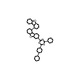 c1ccc(-c2ccc(-c3nc(-c4ccccc4)nc(-c4ccc5c(c4)oc4cccc(-c6cccc7oc8ccccc8c67)c45)n3)cc2)cc1